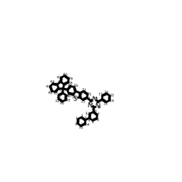 c1ccc(-c2cccc(-c3nc(-c4ccccc4)nc(-c4ccc5c(c4)sc4cc(C6(c7ccccc7)c7ccccc7-c7ccccc76)ccc45)n3)c2)cc1